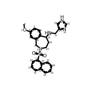 COc1ccc2c(c1)CN(S(=O)(=O)c1cccc3ccccc13)CCC2NCc1c[nH]cn1